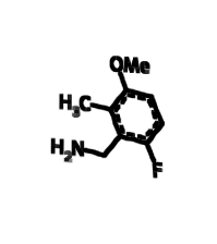 COc1ccc(F)c(CN)c1C